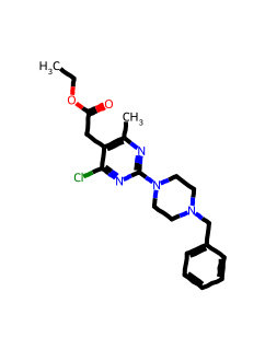 CCOC(=O)Cc1c(C)nc(N2CCN(Cc3ccccc3)CC2)nc1Cl